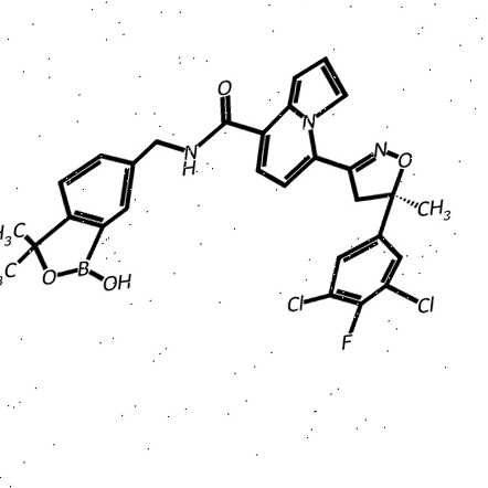 CC1(C)OB(O)c2cc(CNC(=O)c3ccc(C4=NO[C@@](C)(c5cc(Cl)c(F)c(Cl)c5)C4)n4cccc34)ccc21